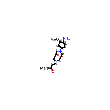 CNC(=O)CCN1CC2CN(c3ccc(N)c(OC)c3)CC(C1)O2